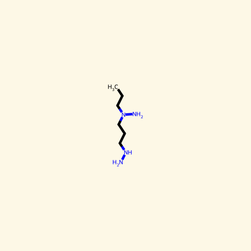 CCCN(N)CCCNN